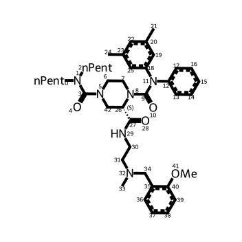 CCCCCN(CCCCC)C(=O)N1CCN(C(=O)N(c2ccccc2)c2cc(C)cc(C)c2)[C@H](C(=O)NCCN(C)Cc2ccccc2OC)C1